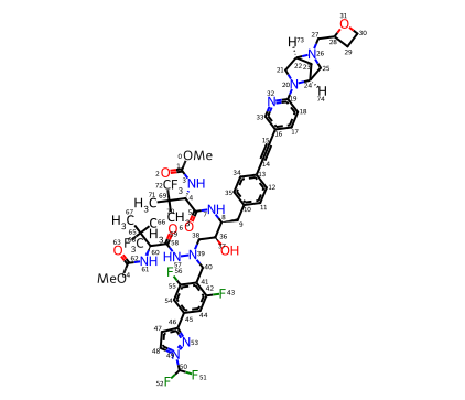 COC(=O)N[C@H](C(=O)N[C@@H](Cc1ccc(C#Cc2ccc(N3C[C@@H]4C[C@H]3CN4CC3CCO3)nc2)cc1)[C@@H](O)CN(Cc1c(F)cc(-c2ccn(C(F)F)n2)cc1F)NC(=O)[C@@H](NC(=O)OC)C(C)(C)C(F)(F)F)C(C)(C)C(F)(F)F